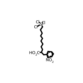 O=C(O)C(CCCCCCCCC[Si](Cl)(Cl)Cl)Cc1ccccc1[N+](=O)[O-]